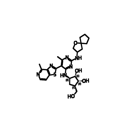 Cc1nc(NC2COC3(CCCC3)C2)nc(N[C@@H]2C[C@H](CO)[C@@H](O)[C@H]2O)c1-c1nc2c(C)nccc2s1